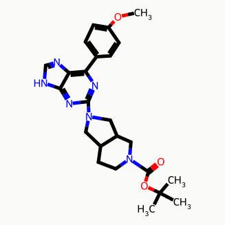 COc1ccc(-c2nc(N3CC4CCN(C(=O)OC(C)(C)C)CC4C3)nc3[nH]cnc23)cc1